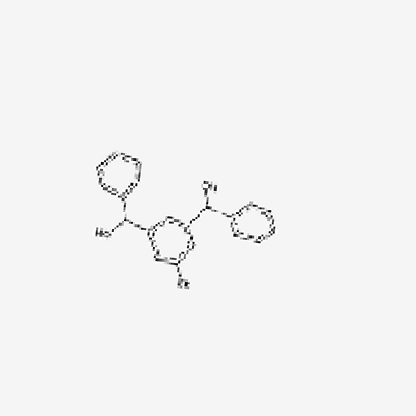 CCc1cc(C(O)c2ccccc2)cc(C(O)c2ccccc2)c1